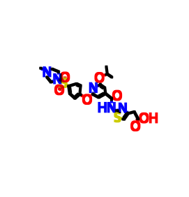 CC(C)Oc1cc(C(=O)Nc2nc(CC(=O)O)cs2)cc(Oc2ccc(S(=O)(=O)N3CCN(C)CC3)cc2)n1